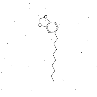 CCCCCCCCCc1ccc2c(c1)OCO2